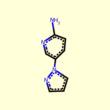 Nc1ccc(-n2cccn2)cn1